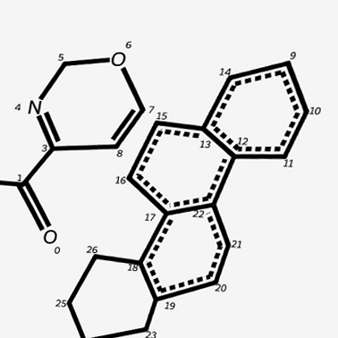 O=C(O)C1=NCOC=C1.c1ccc2c(c1)ccc1c3c(ccc12)CCCC3